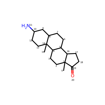 CC12CCC3C(CCC4CC(N)CCC43C)C1CCC2=O